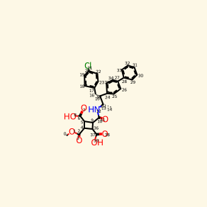 COC(=O)C1C(C(=O)O)C(C(=O)N[C@@H](C)[C@H](Cc2ccc(Cl)cc2)c2ccc(-c3ccccc3)cc2)C1C(=O)O